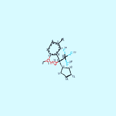 COc1ccc(C)cc1C(O)(C1CCCC1)C(F)(F)F